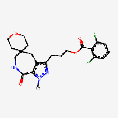 CCn1nc(CCCOC(=O)c2c(F)cccc2F)c2c1C(=O)NCC1(CCOCC1)C2